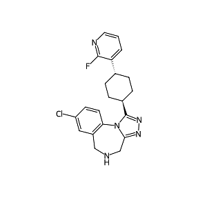 Fc1ncccc1[C@H]1CC[C@H](c2nnc3n2-c2ccc(Cl)cc2CNC3)CC1